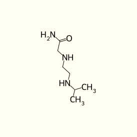 CC(C)NCCNCC(N)=O